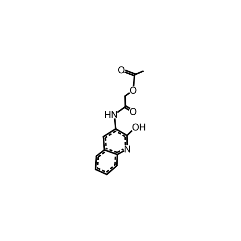 CC(=O)OCC(=O)Nc1cc2ccccc2nc1O